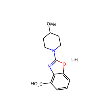 COC1CCN(c2nc3c(C(=O)O)cccc3o2)CC1.[LiH]